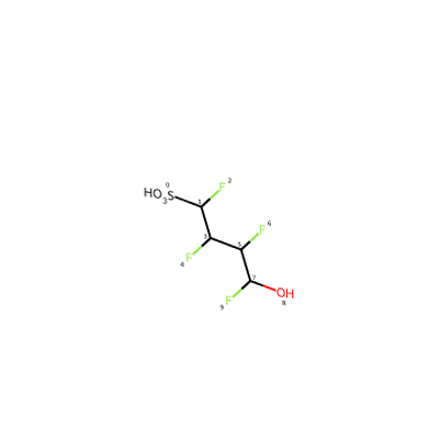 O=S(=O)(O)C(F)C(F)C(F)C(O)F